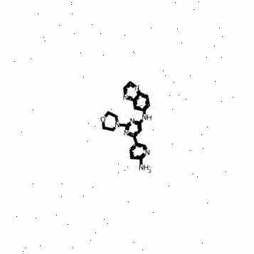 Nc1ccc(-c2cc(Nc3ccc4nccnc4c3)nc(N3CCOCC3)n2)cn1